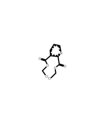 O=C(OCCl)c1cccnc1C(=O)OCCl